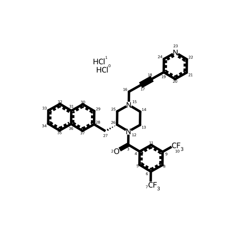 Cl.Cl.O=C(c1cc(C(F)(F)F)cc(C(F)(F)F)c1)N1CCN(CC#Cc2cccnc2)C[C@H]1Cc1ccc2ccccc2c1